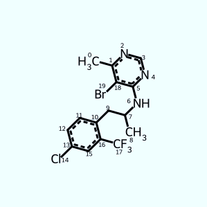 Cc1ncnc(NC(C)Cc2ccc(Cl)cc2C(F)(F)F)c1Br